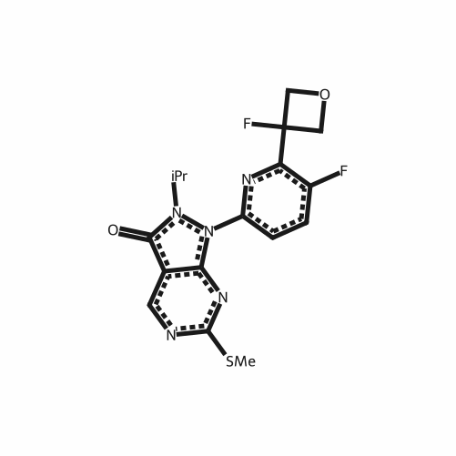 CSc1ncc2c(=O)n(C(C)C)n(-c3ccc(F)c(C4(F)COC4)n3)c2n1